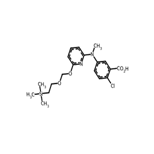 CN(c1ccc(Cl)c(C(=O)O)c1)c1cccc(OCOCC[Si](C)(C)C)n1